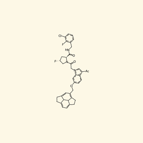 CC(=O)c1cn(CC(=O)N2C[C@H](F)C[C@H]2C(=O)NCc2cccc(Cl)c2F)c2cc(OCC3=C4CCC5=CC=C6CCC(=C3)C6C54)ccc12